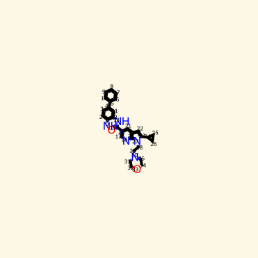 Nc1ccc(-c2ccccc2)cc1NC(=O)c1cnc2c(c1)cc(C1CC1)n2CCN1CCOCC1